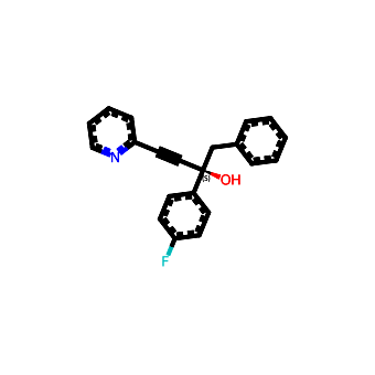 O[C@@](C#Cc1ccccn1)(Cc1ccccc1)c1ccc(F)cc1